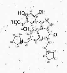 CC(C)c1cc(-c2nnc(C(=O)NCCN3CCCC3)n2-c2ccc(CN3CCCC3)cc2)c(O)cc1O